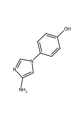 Nc1cn(-c2ccc(O)cc2)cn1